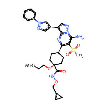 COCCO[C@]1(C(=O)NOCC2CC2)CC[C@H](c2nc3c(-c4cnn(-c5ccccc5)c4)cnn3c(N)c2S(C)(=O)=O)CC1